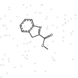 COC(=O)C1=Nc2ccccc2C1